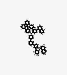 c1cc(-c2ccc(N(c3ccc(-c4cccc5ccccc45)cc3)c3ccc4c(c3)C3(c5ccccc5-c5ccccc53)c3ccccc3-4)cc2)cc(-c2ccc3c(c2)c2ccccc2n3-c2cccc3ccccc23)c1